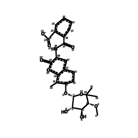 CO[C@@H]1[C@@H](O)[C@H](O)[C@H](Oc2ccc3cc(NC(=O)c4ccccc4[N+](=O)[O-])c(=O)oc3c2C)OC1(C)C